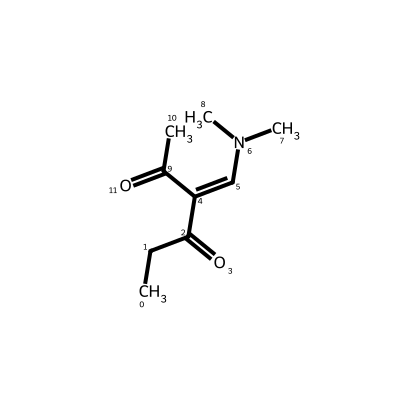 CCC(=O)C(=CN(C)C)C(C)=O